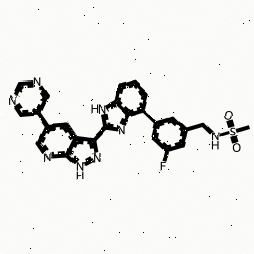 CS(=O)(=O)NCc1cc(F)cc(-c2cccc3[nH]c(-c4n[nH]c5ncc(-c6cncnc6)cc45)nc23)c1